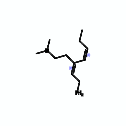 CC/C=C\C(=C/CP)CCN(C)C